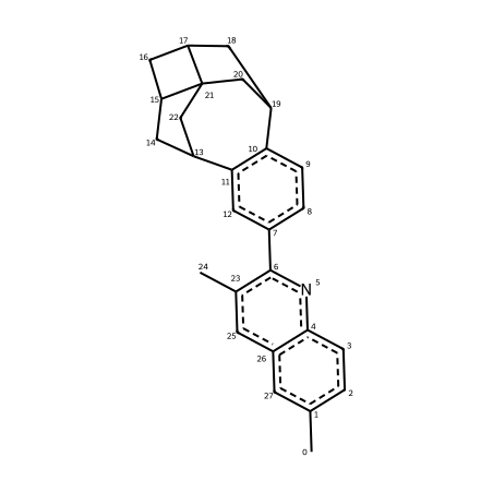 Cc1ccc2nc(-c3ccc4c(c3)C3CC5CC6CC4CC65C3)c(C)cc2c1